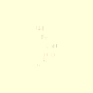 O.[CaH2].[Cu].[Fe].[Nd].[Ti]